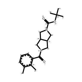 Cc1cccc(C(=O)N2CC3CN(C(=O)OC(C)(C)C)CC3C2)c1C